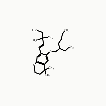 CCCCC(CC)COc1cc2c(cc1/C=C/C(C)(C)CC)OCCC2(C)C